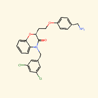 NCc1ccc(OCCC2Oc3ccccc3N(Cc3cc(Cl)cc(Cl)c3)C2=O)cc1